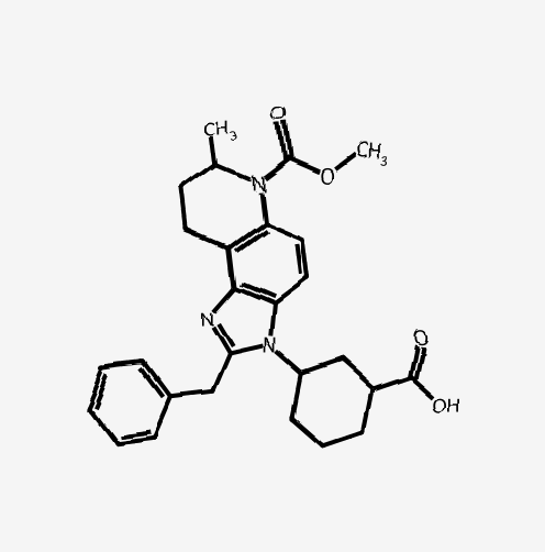 COC(=O)N1c2ccc3c(nc(Cc4ccccc4)n3C3CCCC(C(=O)O)C3)c2CCC1C